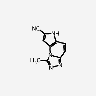 Cc1nnc2ccc3[nH]c(C#N)cc3n12